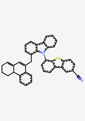 N#Cc1ccc2sc3c(-n4c5ccccc5c5cccc(CC6=CC7=CCCCC7c7ccccc76)c54)cccc3c2c1